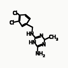 CC1N=C(N)NC(NCc2ccc(Cl)c(Cl)c2)=N1